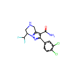 NC(=O)c1c(-c2ccc(Cl)c(Cl)c2)nn2c1CNCC2C(F)F